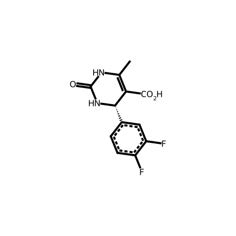 CC1=C(C(=O)O)[C@H](c2ccc(F)c(F)c2)NC(=O)N1